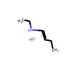 CC/C=C/NCC.Cl